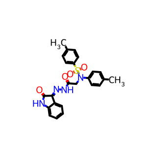 Cc1ccc(N(CC(=O)N/N=C2/C(=O)Nc3ccccc32)S(=O)(=O)c2ccc(C)cc2)cc1